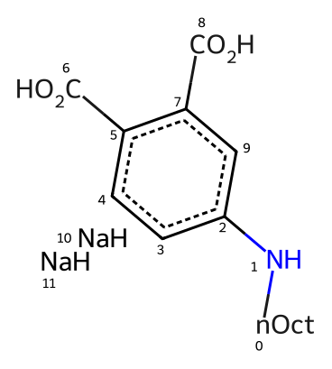 CCCCCCCCNc1ccc(C(=O)O)c(C(=O)O)c1.[NaH].[NaH]